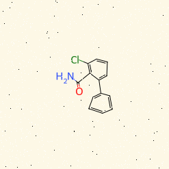 NC(=O)c1c(Cl)cccc1-c1ccccc1